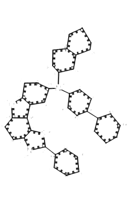 c1ccc(-c2ccc(N(c3ccc4ccccc4c3)c3ccc4oc5ccc6nc(-c7ccccc7)sc6c5c4c3)cc2)cc1